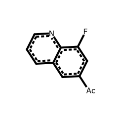 CC(=O)c1cc(F)c2ncccc2c1